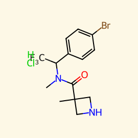 CN(C(=O)C1(C)CNC1)C(c1ccc(Br)cc1)C(F)(F)F.Cl